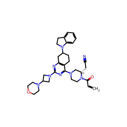 C=CC(=O)N1CCN(c2nc(N3CC(N4CCOCC4)C3)nc3c2CCC(N2CCc4ccccc42)C3)C[C@@H]1CC#N